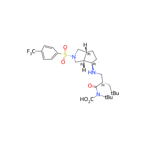 CC(C)(C)C[C@@H](CN[C@@H]1CC[C@H]2CN(S(=O)(=O)c3ccc(C(F)(F)F)cc3)C[C@H]21)C(=O)N(C(=O)O)C(C)(C)C